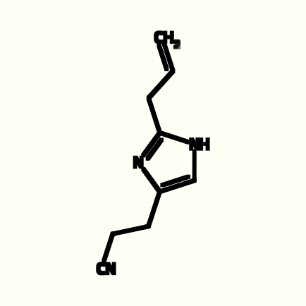 C=CCc1nc(CCC#N)c[nH]1